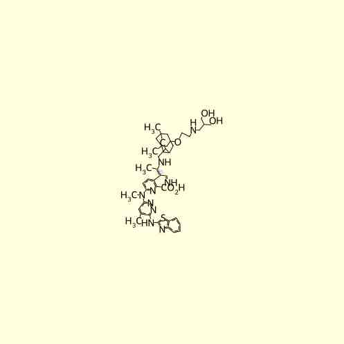 C/C(NCC1CC2(C)CC3(C)CC1CC(OCCNCC(CO)CO)(C2)C3)=C(/C=N)c1ccc(N(C)c2cc(C)c(Nc3nc4ccccc4s3)nn2)nc1C(=O)O